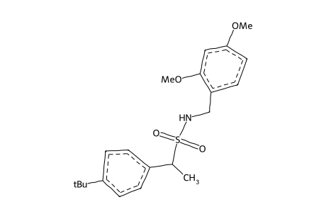 COc1ccc(CNS(=O)(=O)C(C)c2ccc(C(C)(C)C)cc2)c(OC)c1